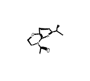 CC(=O)N1CCOc2ccc(C(C)C)nc21